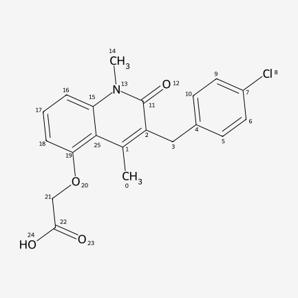 Cc1c(Cc2ccc(Cl)cc2)c(=O)n(C)c2cccc(OCC(=O)O)c12